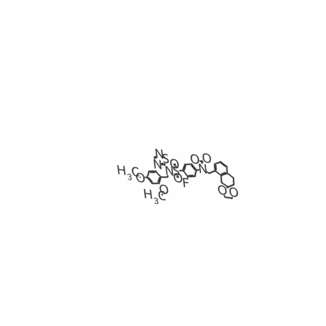 COc1ccc(CN(c2ncns2)S(=O)(=O)c2cc3oc(=O)n(Cc4cccc5c4CC4(CC5)OCCO4)c3cc2F)c(OC)c1